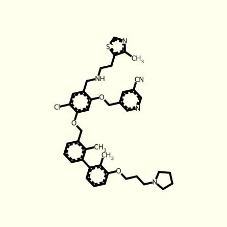 Cc1ncsc1CCNCc1cc(Cl)c(OCc2cccc(-c3cccc(OCCCN4CCCC4)c3C)c2C)cc1OCc1cncc(C#N)c1